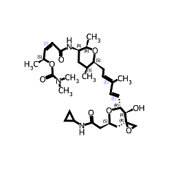 CC(/C=C/[C@H]1O[C@H](CC(=O)NC2CC2)C[C@@]2(CO2)[C@@H]1O)=C\C[C@@H]1O[C@H](C)[C@H](NC(=O)/C=C\[C@H](C)OC(=O)N(C)C)C[C@@H]1C